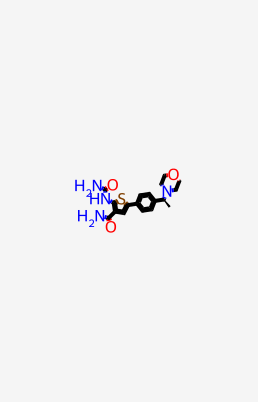 C[C@@H](c1ccc(-c2cc(C(N)=O)c(NC(N)=O)s2)cc1)N1CCOCC1